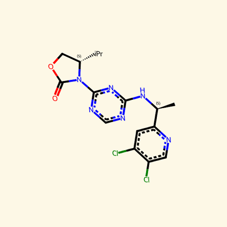 CC(C)[C@H]1COC(=O)N1c1ncnc(N[C@@H](C)c2cc(Cl)c(Cl)cn2)n1